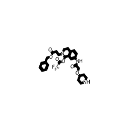 O=C(COC1CCNCC1)Nc1ccc2c(c1)C(OC(=O)C(F)(F)F)N(CCC(=O)OCc1ccccc1)CC2